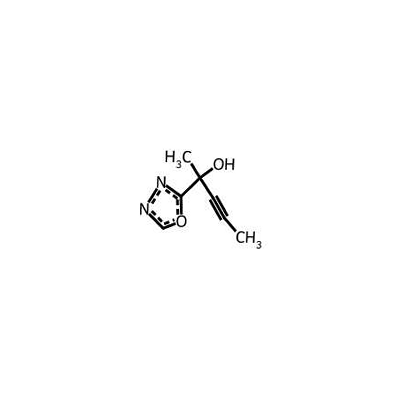 CC#CC(C)(O)c1nnco1